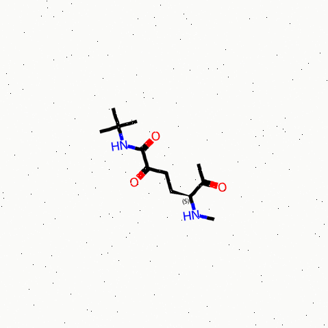 CN[C@@H](CCC(=O)C(=O)NC(C)(C)C)C(C)=O